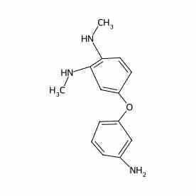 CNc1ccc(Oc2cccc(N)c2)cc1NC